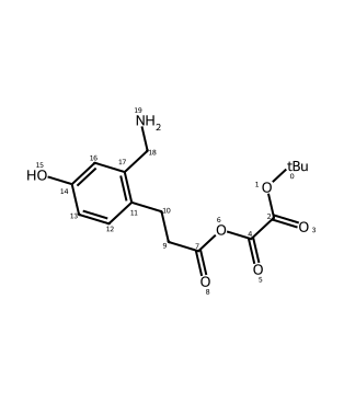 CC(C)(C)OC(=O)C(=O)OC(=O)CCc1ccc(O)cc1CN